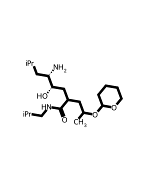 CC(C)CNC(=O)C(CC(C)OC1CCCCO1)C[C@H](O)[C@@H](N)CC(C)C